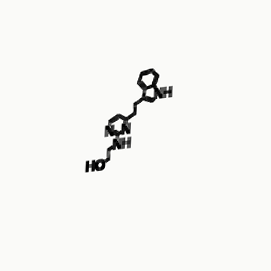 OCCNc1nccc(CCc2c[nH]c3ccccc23)n1